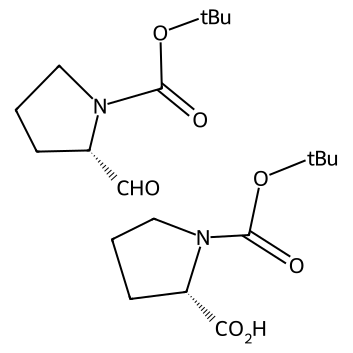 CC(C)(C)OC(=O)N1CCC[C@H]1C(=O)O.CC(C)(C)OC(=O)N1CCC[C@H]1C=O